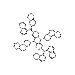 c1ccc2c(c1)CCc1cc(-c3c4ccc(N(c5cccc6ccccc56)c5cccc6ccccc56)cc4c(-c4ccc5c(ccc6ccccc65)c4)c4ccc(N(c5ccc6ccccc6c5)c5cccc6ccccc56)cc34)ccc1-2